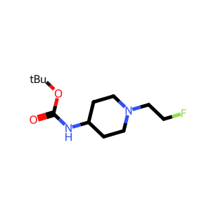 CC(C)(C)OC(=O)NC1CCN(CCF)CC1